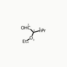 CCCC(C=O)OCC